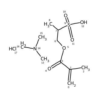 C=C(C)C(=O)OCC(C)S(=O)(=O)O.CN(C)C.Cl